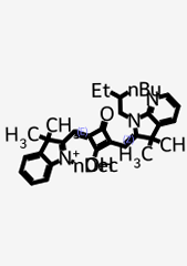 CCCCCCCCCC[N+]1=C(/C=C2/C(=O)C(/C=C3\N(CC(CC)CCCC)c4ncccc4C3(C)C)=C2O)C(C)(C)c2ccccc21